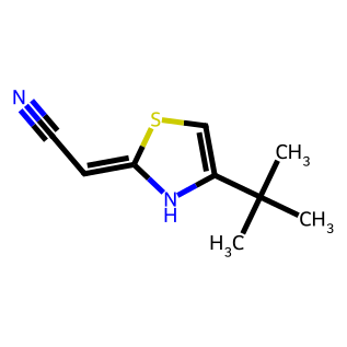 CC(C)(C)C1=CSC(=CC#N)N1